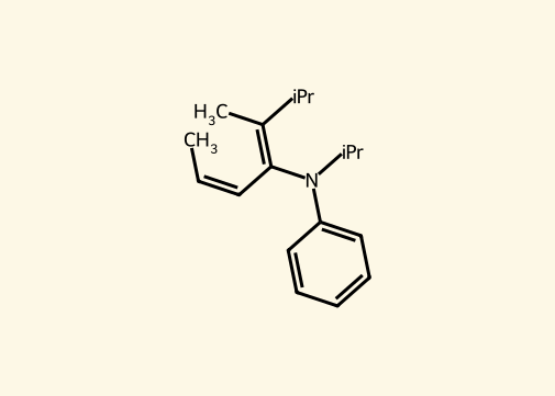 C/C=C\C(=C(/C)C(C)C)N(c1ccccc1)C(C)C